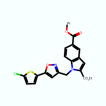 CCOC(=O)c1cc2cc(C(=O)OC(C)C)ccc2n1Cc1cc(-c2ccc(Cl)s2)on1